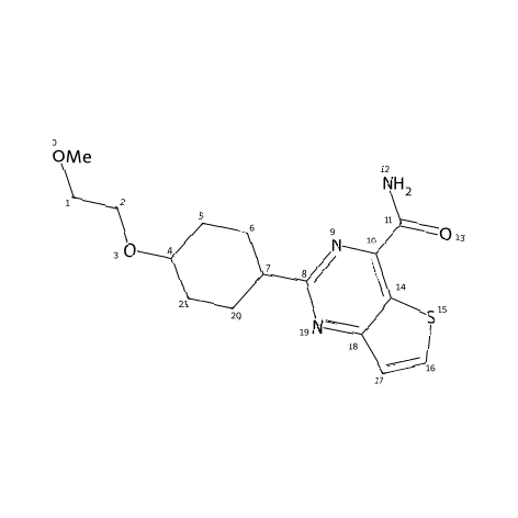 COCCOC1CCC(c2nc(C(N)=O)c3sccc3n2)CC1